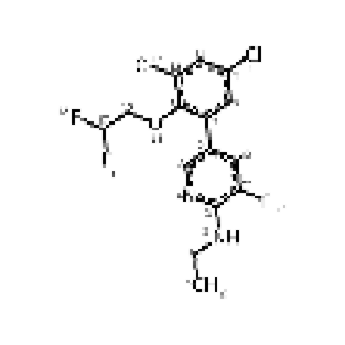 CCNc1ncc(-c2cc(Cl)cc(Cl)c2OCC(F)F)cc1F